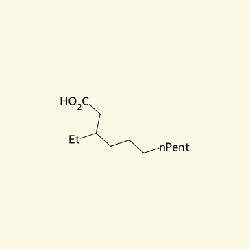 CCCCCCCCC(CC)CC(=O)O